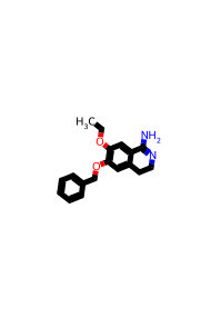 CCOc1cc2c(cc1OCc1ccccc1)CCN=C2N